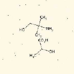 CC(C)(N)CO.CC(O)C(=O)O